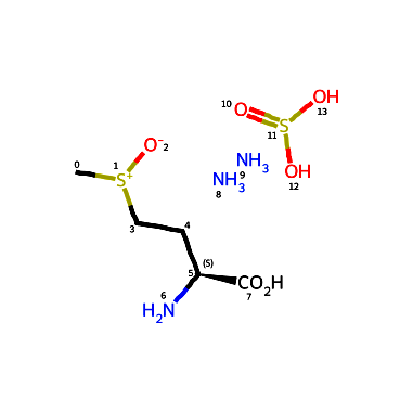 C[S+]([O-])CC[C@H](N)C(=O)O.N.N.O=S(O)O